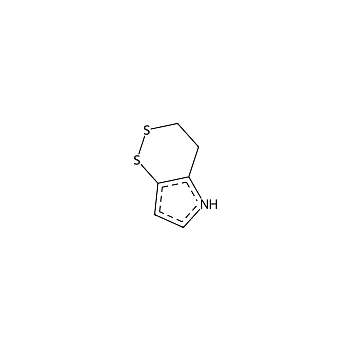 c1cc2c([nH]1)CCSS2